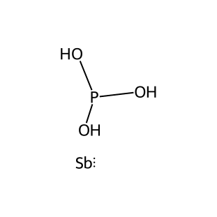 OP(O)O.[Sb]